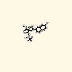 COC(=O)C1(C(C)OS(=O)C(F)(F)F)CC(c2ccc3ncc(Br)cc3c2)=NO1